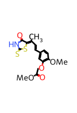 COC(=O)COc1cc(C=CC(C)=C2SC(=S)NC2=O)ccc1OC